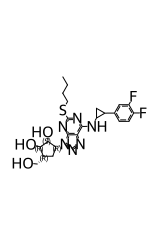 CCCCSc1nc(NC2CC2c2ccc(F)c(F)c2)c2nnn([C@@H]3C[C@H](CO)[C@@H](O)[C@H]3O)c2n1